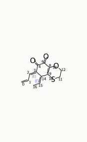 C=C/C=C1/C(=O)C(=O)C2=C(SCCO2)/C1=C/C